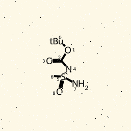 CC(C)(C)OC(=O)N=S(C)(N)=O